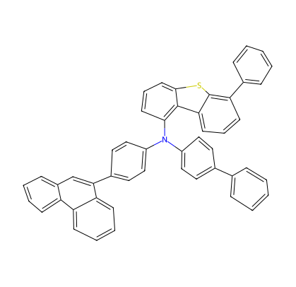 c1ccc(-c2ccc(N(c3ccc(-c4cc5ccccc5c5ccccc45)cc3)c3cccc4sc5c(-c6ccccc6)cccc5c34)cc2)cc1